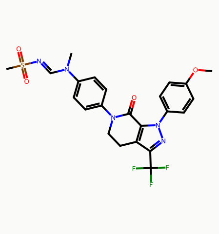 COc1ccc(-n2nc(C(F)(F)F)c3c2C(=O)N(c2ccc(N(C)C=NS(C)(=O)=O)cc2)CC3)cc1